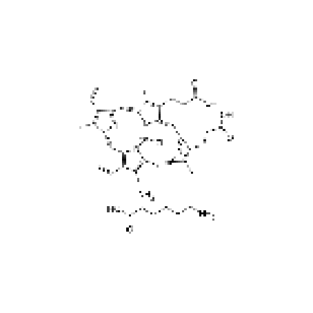 C=CC1=C(C)/C2=C/c3c(C=C)c(C)c4[n]3[Fe]([Cl])[n]3/c(c(C)c(CCC(=O)O)/c3=C/C3=NC(=C\4)/C(C)=C3CCC(=O)O)=C\C1=N2.NCCCCC(N)C(=O)O